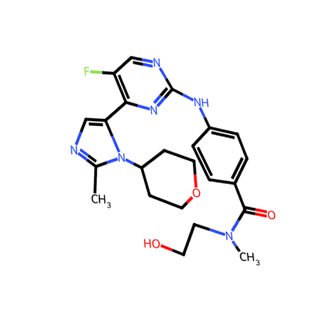 Cc1ncc(-c2nc(Nc3ccc(C(=O)N(C)CCO)cc3)ncc2F)n1C1CCOCC1